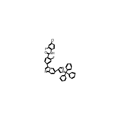 O=C(Nc1ccc(Cl)cc1F)c1ccc(-c2cnc3ccc(-c4cnn(C(c5ccccc5)(c5ccccc5)c5ccccc5)c4)cn23)cc1F